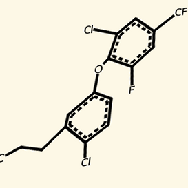 N#CCCc1cc(Oc2c(F)cc(C(F)(F)F)cc2Cl)ccc1Cl